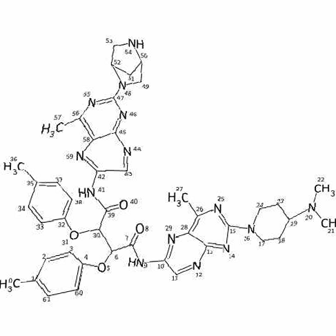 Cc1ccc(OC(C(=O)Nc2cnc3nc(N4CCC(N(C)C)CC4)nc(C)c3n2)C(Oc2ccc(C)cc2)C(=O)Nc2cnc3nc(N4CC5CC4CN5)nc(C)c3n2)cc1